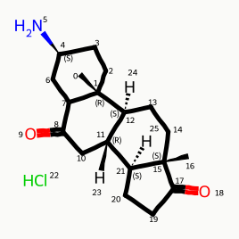 C[C@]12CC[C@H](N)CC1C(=O)C[C@@H]1[C@@H]2CC[C@]2(C)C(=O)CC[C@@H]12.Cl